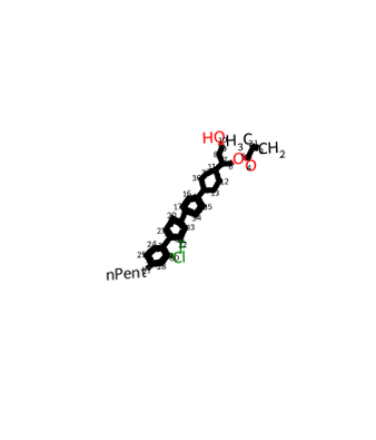 C=C(C)C(=O)OCC(CCO)C1CCC(c2ccc(-c3ccc(-c4ccc(CCCCC)cc4Cl)c(F)c3)cc2)CC1